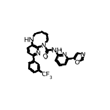 O=C(Nc1cccc(-c2cnco2)n1)N1CCCCNc2ccc(-c3cccc(C(F)(F)F)c3)nc21